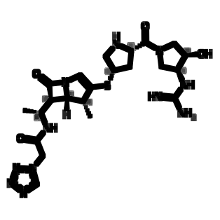 C[C@@H](NC(=O)Cn1cnnn1)[C@H]1C(=O)N2C=C(S[C@@H]3CN[C@H](C(=O)N4C[C@@H](O)[C@@H](NC(=N)N)C4)C3)[C@H](C)[C@H]12